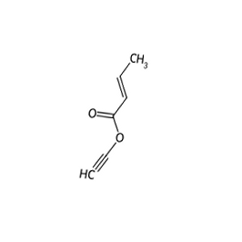 C#COC(=O)C=CC